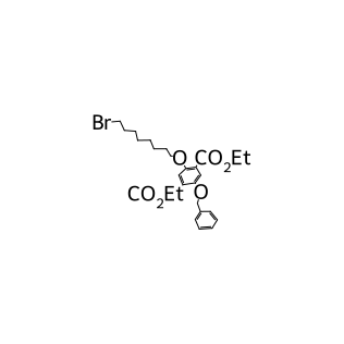 CCOC(=O)c1cc(OCc2ccccc2)c(C(=O)OCC)cc1OCCCCCCCCBr